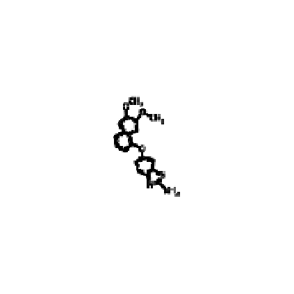 COc1cc2cccc(Oc3ccc4nc(N)sc4c3)c2cc1OC